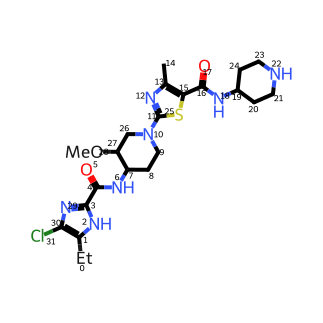 CCc1[nH]c(C(=O)NC2CCN(c3nc(C)c(C(=O)NC4CCNCC4)s3)CC2OC)nc1Cl